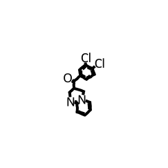 O=C(c1ccc(Cl)c(Cl)c1)C1CN=C2C=CC=CN2C1